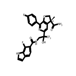 C[C@]1(C(N)=O)COc2c1cc(C(O)(CNC(=O)c1ccc3cc[nH]c3c1F)C(F)(F)F)nc2-c1ccc(F)cc1